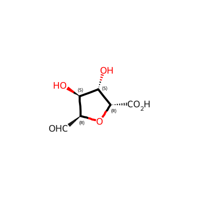 O=C[C@@H]1O[C@@H](C(=O)O)[C@@H](O)[C@@H]1O